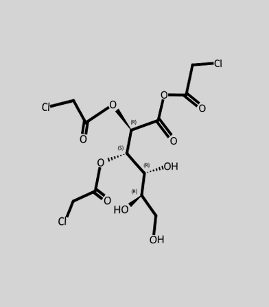 O=C(CCl)OC(=O)[C@H](OC(=O)CCl)[C@@H](OC(=O)CCl)[C@H](O)[C@H](O)CO